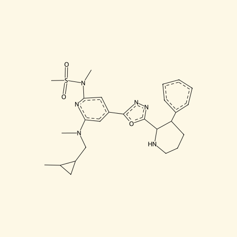 CC1CC1CN(C)c1cc(-c2nnc(C3NCCCC3c3ccccc3)o2)cc(N(C)S(C)(=O)=O)n1